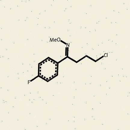 CO/N=C(/CCCCl)c1ccc(F)cc1